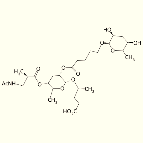 CC(=O)NC[C@@H](C)C(=O)O[C@@H]1C[C@H](OC(=O)CCCCO[C@@H]2OC(C)[C@H](O)C[C@@H]2O)[C@H](O[C@H](C)CCC(=O)O)OC1C